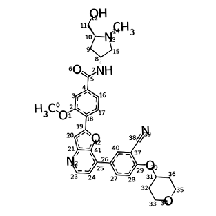 COc1cc(C(=O)N[C@@H]2C[C@@H](CO)N(C)C2)ccc1-c1cc2nccc(-c3ccc(OC4CCOCC4)c(C#N)c3)c2o1